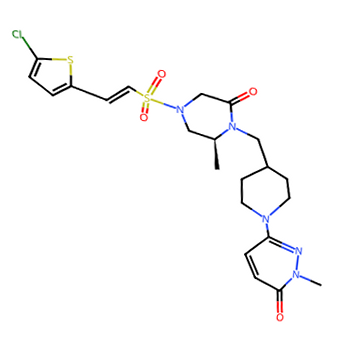 C[C@H]1CN(S(=O)(=O)/C=C/c2ccc(Cl)s2)CC(=O)N1CC1CCN(c2ccc(=O)n(C)n2)CC1